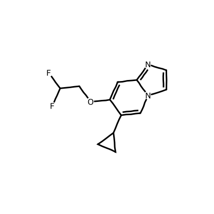 FC(F)COc1cc2nccn2cc1C1CC1